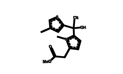 COC(=O)Cc1ccc(C(O)(C#N)c2cc(C)cs2)n1C